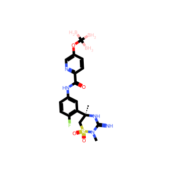 BC(B)(B)Oc1ccc(C(=O)Nc2ccc(F)c([C@]3(C)CS(=O)(=O)N(C)C(=N)N3)c2)nc1